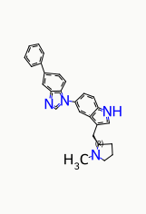 CN1CCC[C@@H]1Cc1c[nH]c2ccc(-n3cnc4cc(-c5ccccc5)ccc43)cc12